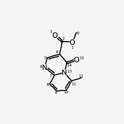 COC(=O)c1cnc2cccc(C)n2c1=O